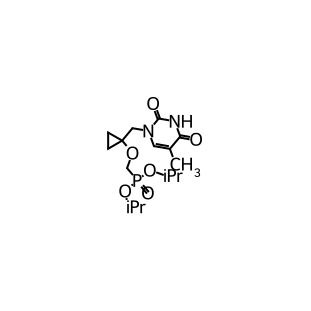 Cc1cn(CC2(OCP(=O)(OC(C)C)OC(C)C)CC2)c(=O)[nH]c1=O